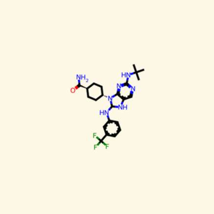 CC(C)(C)Nc1ncc2c(n1)N([C@H]1CC[C@H](C(N)=O)CC1)C(Nc1cccc(C(F)(F)F)c1)N2